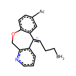 BCC/C=C1/c2cc(C(C)=O)ccc2OCc2ncccc21